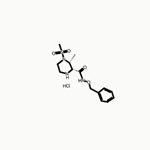 C[C@@H]1[C@H](C(=O)NOCc2ccccc2)NCCN1S(C)(=O)=O.Cl